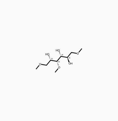 COC[C@@H](O)[C@@H](O)[C@H](OC)[C@@H](O)COC